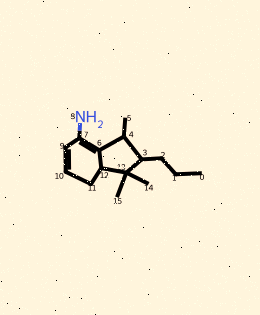 CCCC1C(C)C2=C(N)C=CCC2C1(C)C